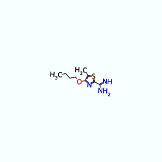 CCCCOc1nc(C(=N)N)sc1C